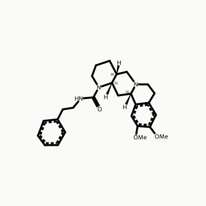 COc1cc2c(cc1OC)[C@@H]1C[C@H]3[C@H](CCCN3C(=O)NCCc3ccccc3)CN1CC2